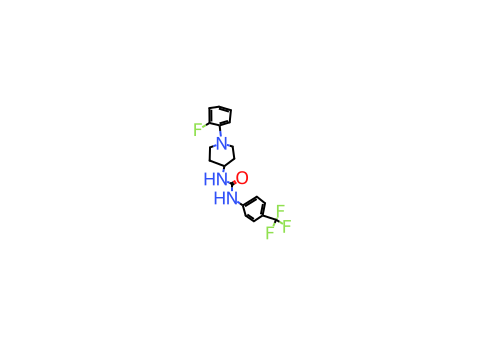 O=C(Nc1ccc(C(F)(F)F)cc1)NC1CCN(c2ccccc2F)CC1